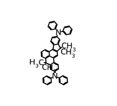 CC1(C)c2cc(N(c3ccccc3)c3ccccc3)ccc2-c2c1cc1c3c(cccc23)C(C)(C)c2cc(N(c3ccccc3)c3ccccc3)ccc2-1